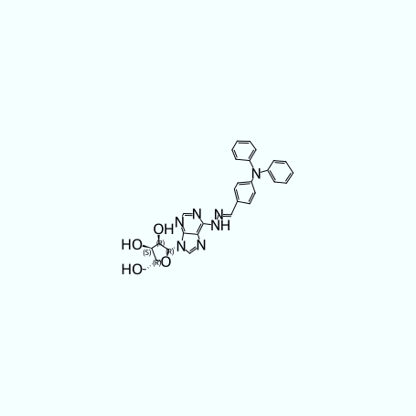 OC[C@H]1O[C@@H](n2cnc3c(NN=Cc4ccc(N(c5ccccc5)c5ccccc5)cc4)ncnc32)[C@H](O)[C@@H]1O